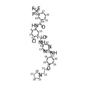 O=C(Nc1ccc(Cl)c(C(=O)Nc2cnc(Nc3ccc(OCCN4CCCC4)cc3)nc2)c1)c1cccc(C(F)(F)F)c1